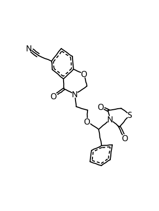 N#Cc1ccc2c(c1)C(=O)N(CCOC(c1ccccc1)N1C(=O)CSC1=O)CO2